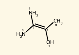 CC(O)=C(N)N